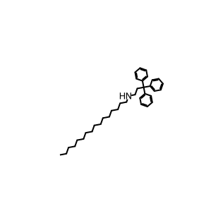 CCCCCCCCCCCCCCCCNCCC(c1ccccc1)(c1ccccc1)c1ccccc1